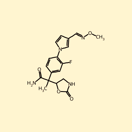 CON=Cc1ccn(-c2ccc(C(C)(C(N)=O)C3CNC(=O)O3)cc2F)c1